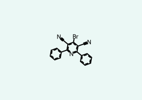 N#Cc1c(-c2ccccc2)nc(-c2ccccc2)c(C#N)c1Br